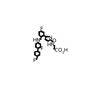 O=C(O)CCNC(=O)c1ccc(-c2cc(F)ccc2CNc2ccc(-c3ccc(CF)cc3)c(F)c2)cn1